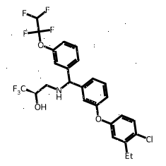 CCc1cc(Oc2cccc(C(NC[C@@H](O)C(F)(F)F)c3cccc(OC(F)(F)C(F)F)c3)c2)ccc1Cl